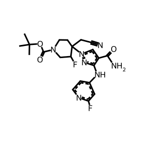 CC(C)(C)OC(=O)N1CCC(CC#N)(n2cc(C(N)=O)c(Nc3ccnc(F)c3)n2)C(F)C1